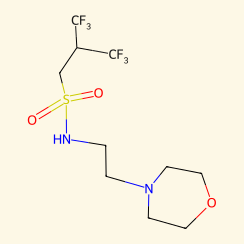 O=S(=O)(CC(C(F)(F)F)C(F)(F)F)NCCN1CCOCC1